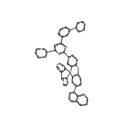 c1ccc(-c2cccc(-c3cc(-c4ccccc4)nc(-c4ccc5c(c4)C4(c6cc(-c7cccc8cccnc78)ccc6O5)c5ccccc5-c5ccccc54)n3)c2)cc1